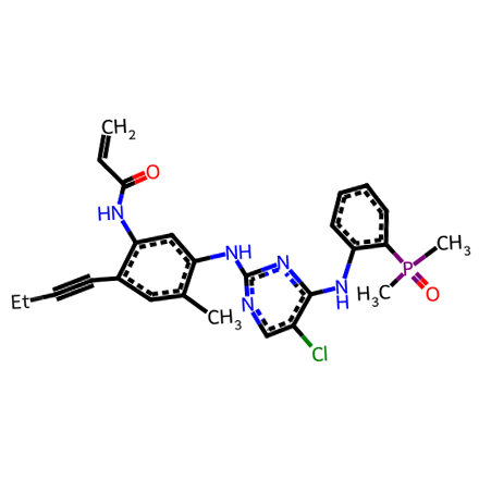 C=CC(=O)Nc1cc(Nc2ncc(Cl)c(Nc3ccccc3P(C)(C)=O)n2)c(C)cc1C#CCC